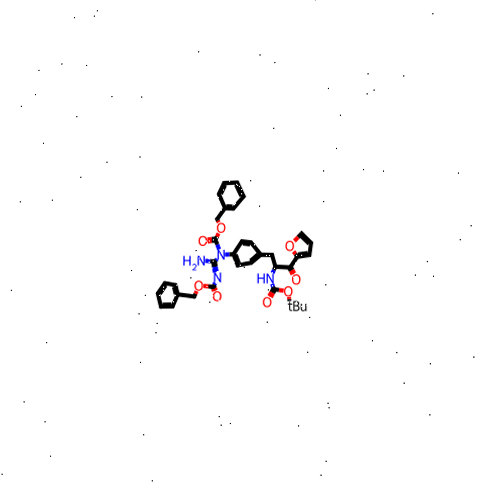 CC(C)(C)OC(=O)NC(Cc1ccc(N(C(=O)OCc2ccccc2)C(N)=NC(=O)OCc2ccccc2)cc1)C(=O)c1ccco1